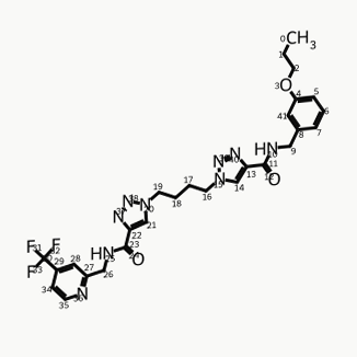 CCCOc1cccc(CNC(=O)c2cn(CCCCn3cc(C(=O)NCc4cc(C(F)(F)F)ccn4)nn3)nn2)c1